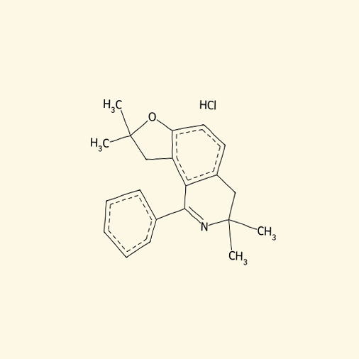 CC1(C)Cc2ccc3c(c2C(c2ccccc2)=N1)CC(C)(C)O3.Cl